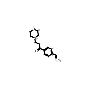 C=Cc1ccc(C(=O)CCN2CCOCC2)cc1